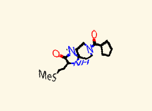 CSCCC1NC2(CCN(C(=O)C3CCCC3)CC2)[N]C1=O